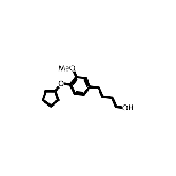 COc1cc(CCCCO)ccc1OC1CCCC1